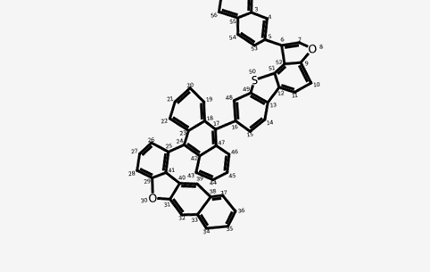 c1ccc2cc(-c3coc4ccc5c6ccc(-c7c8ccccc8c(-c8cccc9oc%10cc%11ccccc%11cc%10c89)c8ccccc78)cc6sc5c34)ccc2c1